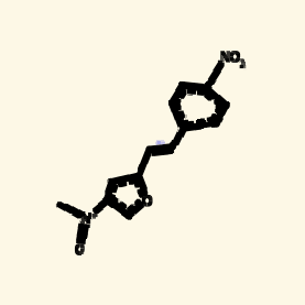 C[N+](=O)c1coc(/C=C/c2ccc([N+](=O)[O-])cc2)c1